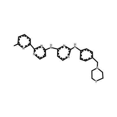 Cc1cccc(-c2nccc(Nc3ccnc(Nc4ccc(CN5CCSCC5)cc4)n3)n2)n1